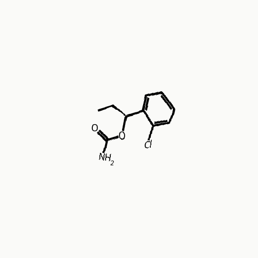 CC[C@H](OC(N)=O)c1ccccc1Cl